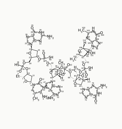 CC[C@H]1O[C@@H](n2cc(C)c(N)nc2=O)CC1OP(=O)(S)OC[C@H]1O[C@@H](n2cnc3c(=O)[nH]c(N)nc32)CC1OP(=O)(S)OC[C@]12O[C@@H](n3cnc4c(N)ncnc43)[C@@H](O[C@H]1C)C2OP(=O)(O)OC[C@]12O[C@@H](n3cnc4c(=O)[nH]c(N)nc43)[C@@H](O[C@H]1C)C2OP(=O)(S)OC[C@]12O[C@@H](n3cnc4c(=O)[nH]c(C)nc43)[C@@H](O[C@H]1C)C2O